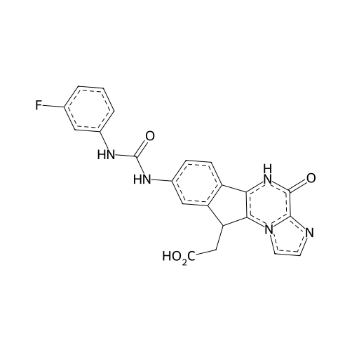 O=C(O)CC1c2cc(NC(=O)Nc3cccc(F)c3)ccc2-c2[nH]c(=O)c3nccn3c21